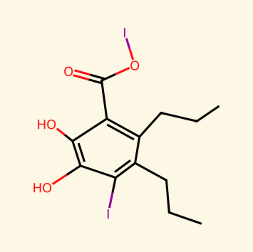 CCCc1c(I)c(O)c(O)c(C(=O)OI)c1CCC